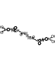 CN(Nc1ccc(N(CCO)CCO)cc1)c1cc[n+](CCCC(=O)NCCSSCCNC(=O)CCC[n+]2ccc(/N=N/c3ccc(N(CCO)CCO)cc3)c3ccccc32)c2ccccc12